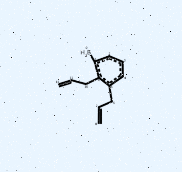 Bc1cccc(CC=C)c1CC=C